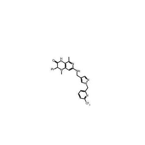 Cc1nc(NCc2cnn(Cc3cccc(C(F)(F)F)n3)c2)cc2c1NC(=O)C(C(C)C)N2C